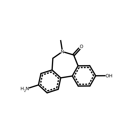 CN1Cc2cc(N)ccc2-c2ccc(O)cc2C1=O